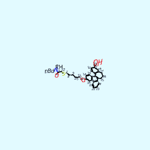 CCCCN(C)C(=O)CSCCCCCOc1ccc(C2=C(c3ccccc3)CCCc3cc(O)ccc32)cc1